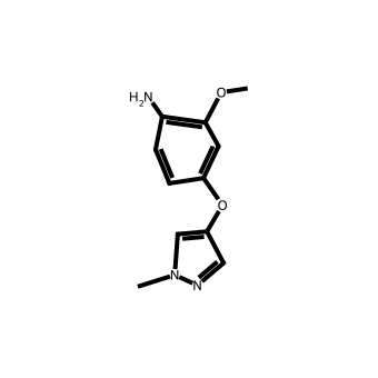 COc1cc(Oc2cnn(C)c2)ccc1N